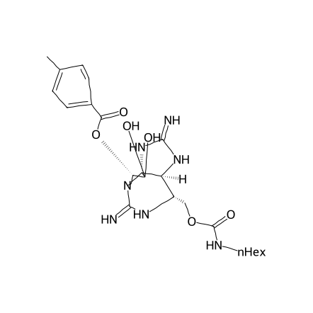 CCCCCCNC(=O)OC[C@@H]1NC(=N)N2C[C@H](OC(=O)c3ccc(C)cc3)C(O)(O)[C@@]23NC(=N)N[C@@H]13